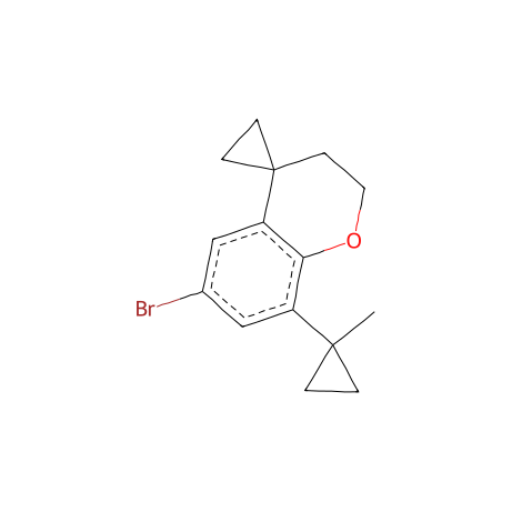 CC1(c2cc(Br)cc3c2OCCC32CC2)CC1